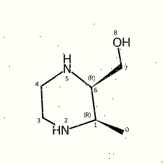 C[C@H]1NCCN[C@H]1CO